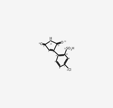 O=C1C=C(c2ccc(Cl)cc2S(=O)(=O)O)C(=O)N1